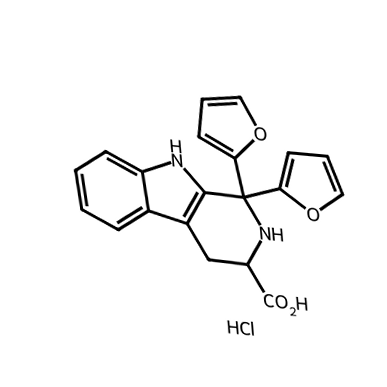 Cl.O=C(O)C1Cc2c([nH]c3ccccc23)C(c2ccco2)(c2ccco2)N1